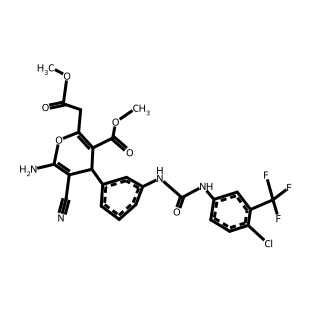 COC(=O)CC1=C(C(=O)OC)C(c2cccc(NC(=O)Nc3ccc(Cl)c(C(F)(F)F)c3)c2)C(C#N)=C(N)O1